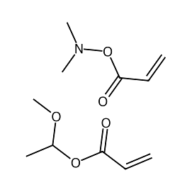 C=CC(=O)OC(C)OC.C=CC(=O)ON(C)C